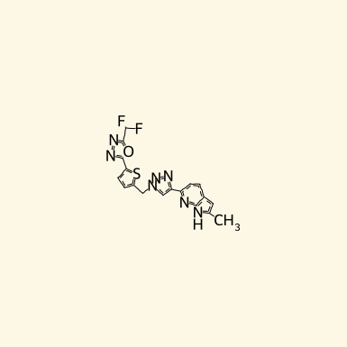 Cc1cc2ccc(-c3cn(Cc4ccc(-c5nnc(C(F)F)o5)s4)nn3)nc2[nH]1